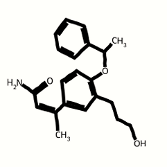 C/C(=C/C(N)=O)c1ccc(OC(C)c2ccccc2)c(CCCO)c1